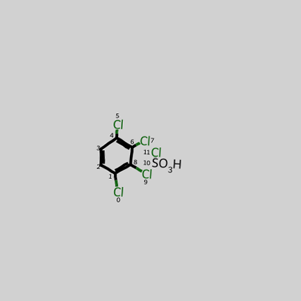 Clc1ccc(Cl)c(Cl)c1Cl.O=S(=O)(O)Cl